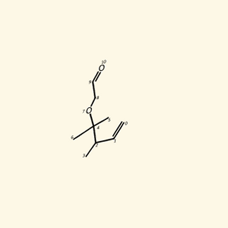 C=CC(C)C(C)(C)OCC=O